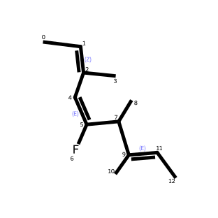 C/C=C(C)\C=C(\F)C(C)/C(C)=C/C